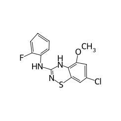 COc1cc(Cl)cc2c1NC(Nc1ccccc1F)=NS2